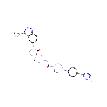 Cn1cnc(-c2ccc(N3CCN(C(=O)CN4CC[C@]5(CCN(c6ccc7[nH]nc(C8CC8)c7c6)C5=O)C4)CC3)cc2)n1